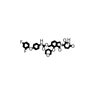 O=C1CCC(N2Cc3ccc(COC(=O)Nc4ccc(Oc5ccc(F)cc5F)cc4)c(O[C@@H]4CCCOC4)c3C2=O)C(=O)N1